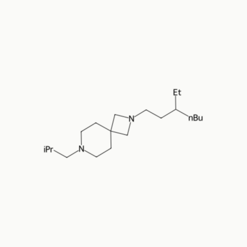 CCCCC(CC)CCN1CC2(CCN(CC(C)C)CC2)C1